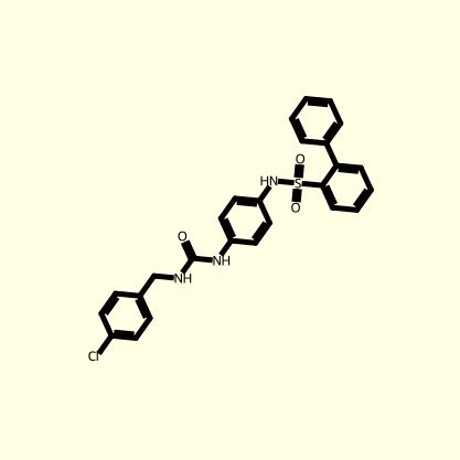 O=C(NCc1ccc(Cl)cc1)Nc1ccc(NS(=O)(=O)c2ccccc2-c2ccccc2)cc1